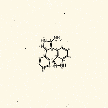 Nc1[nH]nc(-c2ccncc2)c1-c1cccc2[nH]ncc12